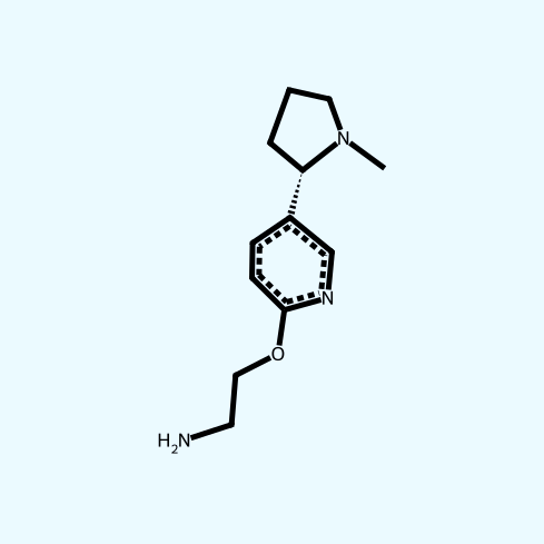 CN1CCC[C@H]1c1ccc(OCCN)nc1